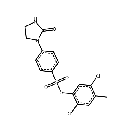 Cc1cc(Cl)c(OS(=O)(=O)c2ccc(N3CCNC3=O)cc2)cc1Cl